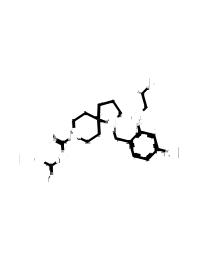 O=C(OC(C(F)(F)F)C(F)(F)F)N1CCC2(CCCN2Cc2ccc(Cl)cc2OCCF)CC1